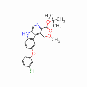 COCc1c(C(=O)OC(C)(C)C)ncc2[nH]c3ccc(Oc4cccc(Cl)c4)cc3c12